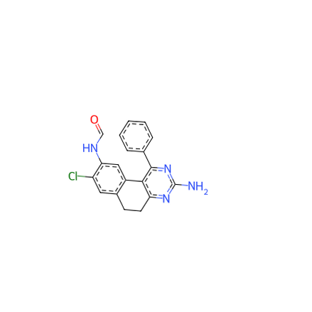 Nc1nc2c(c(-c3ccccc3)n1)-c1cc(NC=O)c(Cl)cc1CC2